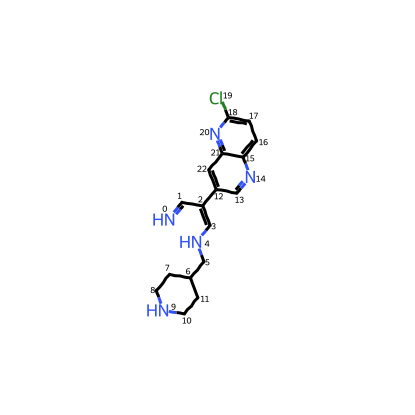 N=C/C(=C\NCC1CCNCC1)c1cnc2ccc(Cl)nc2c1